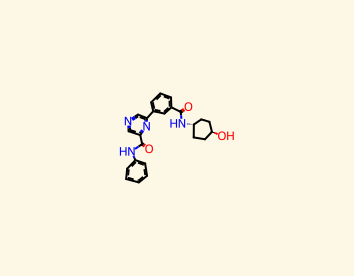 O=C(N[C@H]1CC[C@H](O)CC1)c1cccc(-c2cncc(C(=O)Nc3ccccc3)n2)c1